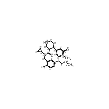 COCCc1ccc(Cl)c(CN(C(=O)C2CNCCC2c2ccn(C)c(=O)c2)C2CC2)c1